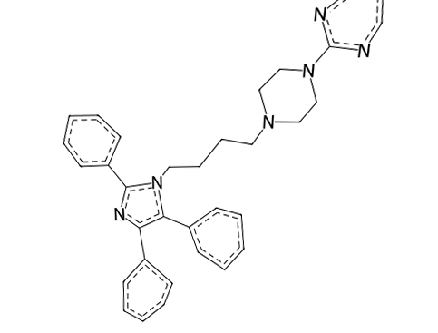 c1ccc(-c2nc(-c3ccccc3)n(CCCCN3CCN(c4ncccn4)CC3)c2-c2ccccc2)cc1